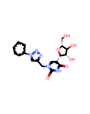 O=c1[nH]c(=O)n(Cc2cn(-c3ccccc3)nn2)cc1[C@@H]1O[C@H](CO)C(O)[C@@H]1O